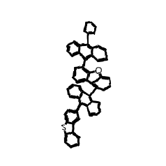 c1ccc(-c2c3ccccc3c(-c3cccc4c3oc3cccc(-c5c6ccccc6c(-c6ccc7sc8ccccc8c7c6)c6ccccc56)c34)c3ccccc23)cc1